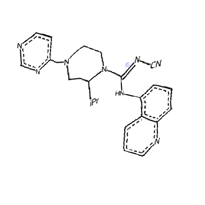 CC(C)C1CN(c2ccncn2)CCN1/C(=N/C#N)Nc1cccc2ncccc12